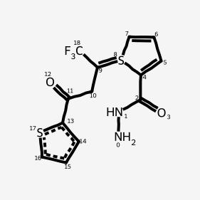 NNC(=O)C1=CC=CS1=C(CC(=O)c1cccs1)C(F)(F)F